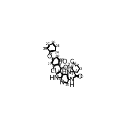 O=C(O)N1CCCC2(C1)Nc1c(cnc3[nH]cc(C(O)c4ccc(Oc5ccccc5)cc4Cl)c13)NC2=O